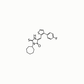 O=C1C(=Cc2sccc2-c2ccc(F)cc2)NC(=S)N1C1CCCCCC1